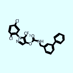 O=C(NCc1cccc(-c2ccccc2)c1)Oc1cnn(-c2cc(Cl)ccc2Cl)c1C(F)(F)F